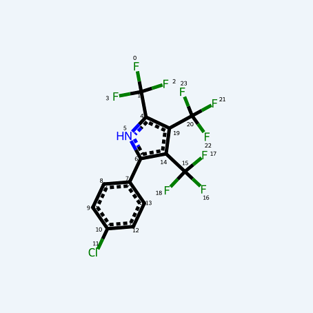 FC(F)(F)c1[nH]c(-c2ccc(Cl)cc2)c(C(F)(F)F)c1C(F)(F)F